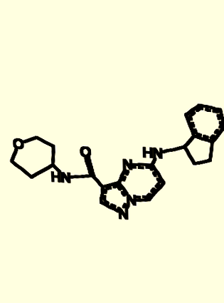 O=C(NC1CCOCC1)c1cnn2ccc(NC3CCc4ccccc43)nc12